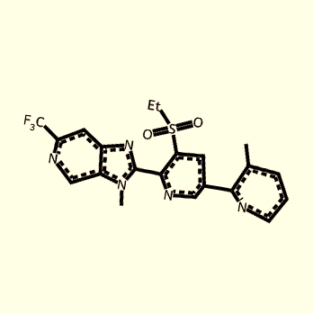 CCS(=O)(=O)c1cc(-c2ncccc2C)cnc1-c1nc2cc(C(F)(F)F)ncc2n1C